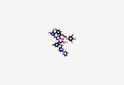 Cc1ccc2c(c1)c(N1C[C@@H](C)n3c(c(CCCOc4cc(C)c(Cl)c(C)c4)c4ccc(Cl)c(-c5c(C)nn(C)c5C)c43)C1=O)c(C(=O)O)n2Cc1cccc(N2CCCCC2)n1